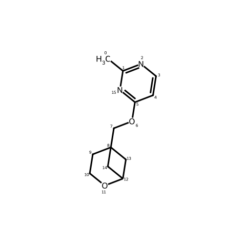 Cc1nccc(OCC23CCOC(C2)C3)n1